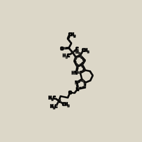 C=CCC(=O)C(C)(C)c1cc2[nH]c3c(c2cc1C)CCCc1cn(COCC[Si](C)(C)C)nc1-3